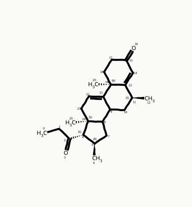 CCC(=O)[C@H]1[C@H](C)CC2C3C[C@H](C)C4=CC(=O)CC[C@]4(C)C3=CC[C@@]21C